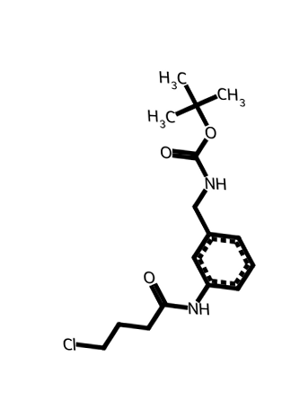 CC(C)(C)OC(=O)NCc1cccc(NC(=O)CCCCl)c1